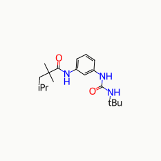 CC(C)CC(C)(C)C(=O)Nc1cccc(NC(=O)NC(C)(C)C)c1